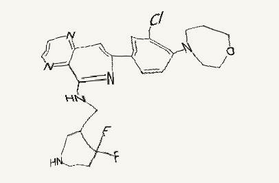 FC1(F)CCNCC1CNc1nc(-c2ccc(N3CCCOCC3)c(Cl)c2)cc2nccnc12